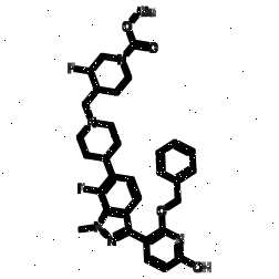 Cn1nc(-c2ccc(O)nc2OCc2ccccc2)c2ccc(C3CCN(CC4CCN(C(=O)OC(C)(C)C)CC4F)CC3)c(F)c21